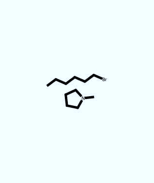 CCCCCCBr.CN1CCCC1